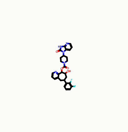 O=C(OC1c2ncccc2CC(c2cccc(F)c2F)CC1O)N1CCC(n2c(=O)[nH]c3ncccc32)CC1